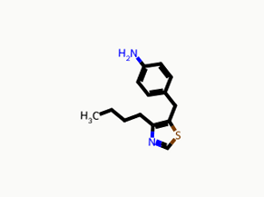 CCCCc1ncsc1Cc1ccc(N)cc1